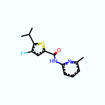 Cc1cccc(NC(=O)c2cc(F)c(C(C)C)s2)n1